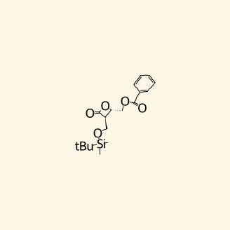 CC(C)(C)[Si](C)(C)OC[C@H]1C(=O)O[C@@H]1COC(=O)c1ccccc1